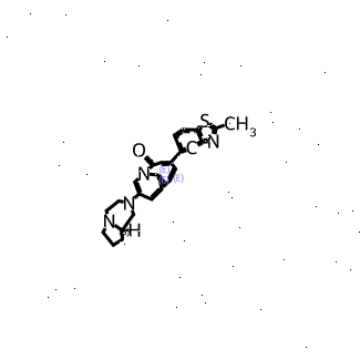 Cc1nc2cc(C3=C\C(=O)N4C=C(N5CCN6CCC[C@H]6C5)C=C\C4=C/C=C/3)ccc2s1